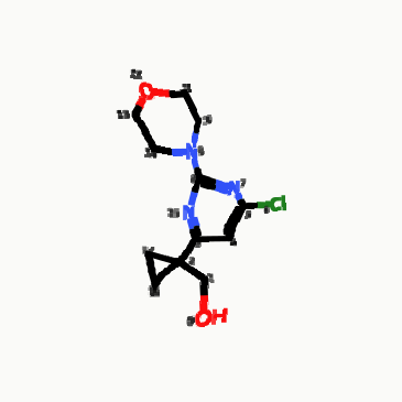 OCC1(c2cc(Cl)nc(N3CCOCC3)n2)CC1